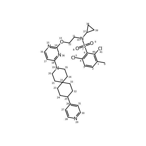 Cc1ccc(Cl)c(S(=O)(=O)N(CCOc2nccc(N3CCC4(CCC(c5ccncc5)CC4)CC3)n2)C2CC2)c1Cl